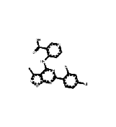 Cc1noc2nc(-c3ccc(Cl)cc3F)nc(Nc3ccncc3C(=O)O)c12